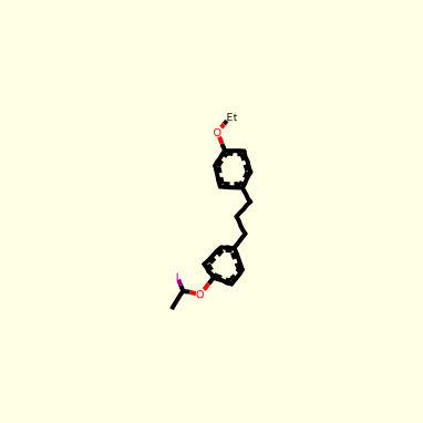 CCOc1ccc(CCCc2ccc(OC(C)I)cc2)cc1